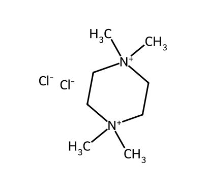 C[N+]1(C)CC[N+](C)(C)CC1.[Cl-].[Cl-]